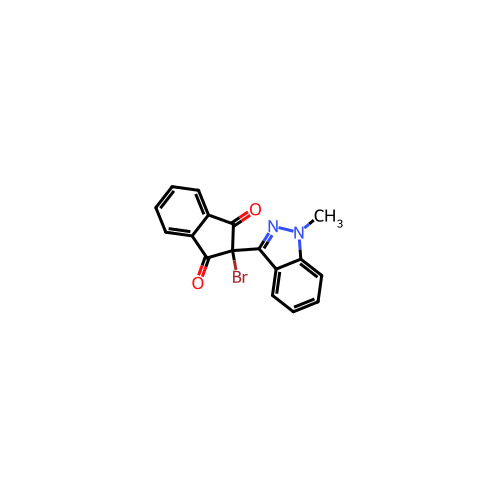 Cn1nc(C2(Br)C(=O)c3ccccc3C2=O)c2ccccc21